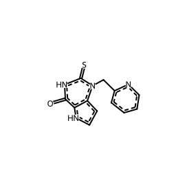 O=c1[nH]c(=S)n(Cc2ccccn2)c2cc[nH]c12